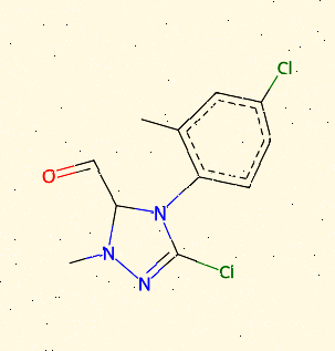 Cc1cc(Cl)ccc1N1C(Cl)=NN(C)C1C=O